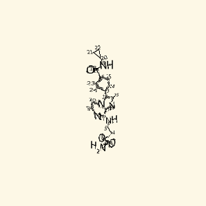 NS(=O)(=O)CCNc1nccn2c(-c3ccc(C(=O)NC4CC4)cc3)cnc12